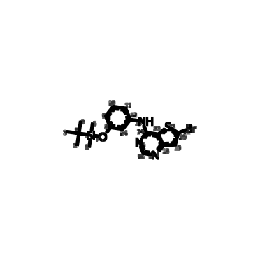 CC(C)(C)[Si](C)(C)Oc1cccc(Nc2ncnc3cc(Br)sc23)c1